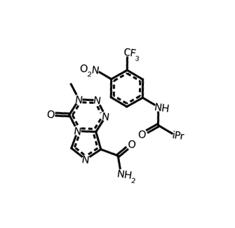 CC(C)C(=O)Nc1ccc([N+](=O)[O-])c(C(F)(F)F)c1.Cn1nnc2c(C(N)=O)ncn2c1=O